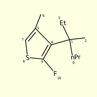 CCCC(C)(CC)c1c(C)csc1F